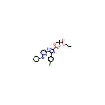 C=CCOC(=O)C1(C)COC(c2nc(-c3ccc(F)cc3)c(-c3ccnc(NC4CCCCC4)n3)[nH]2)OC1